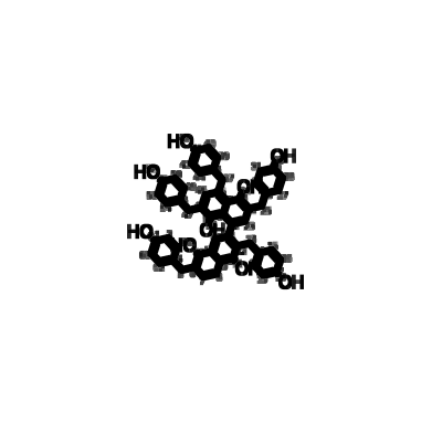 Oc1ccc(Cc2ccc3c(O)c(Cc4ccc(O)cc4)c(-c4cc(Cc5ccc(O)cc5)c(O)c5c(Cc6ccc(O)cc6)cc(Cc6ccc(O)cc6)c(O)c45)cc3c2O)cc1